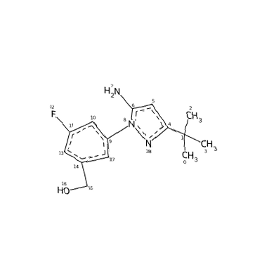 CC(C)(C)c1cc(N)n(-c2cc(F)cc(CO)c2)n1